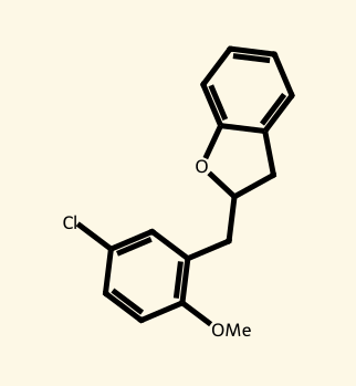 COc1ccc(Cl)cc1CC1Cc2ccccc2O1